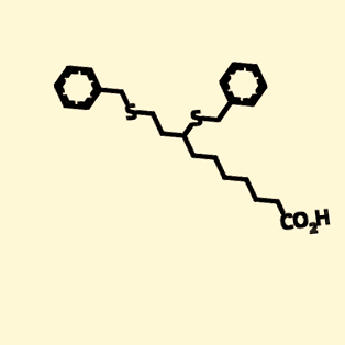 O=C(O)CCCCCCC(CCSCc1ccccc1)SCc1ccccc1